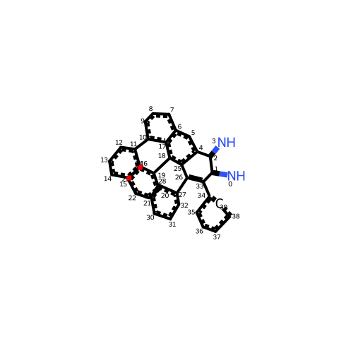 N=C1C(=N)c2cc3cccc(-c4ccccc4)c3c(-c3ccccc3)c2C(c2ccccc2)=C1c1ccccc1